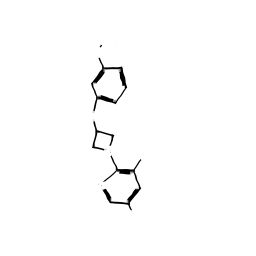 O=C(O)c1cc(Cl)cnc1N1CC(Oc2cccc(OC(F)(F)F)c2)C1